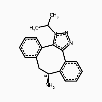 CC(C)n1nnc2c1-c1ccccc1C[C@H](N)c1ccccc1-2